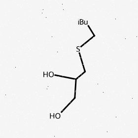 CCC(C)CSCC(O)CO